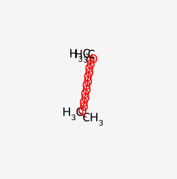 CCCCC(CC)COCCOCCOCCOCCOCCOCCOCCOCCOCCOCCOCCOCCOC(=O)C(CC)CCCC